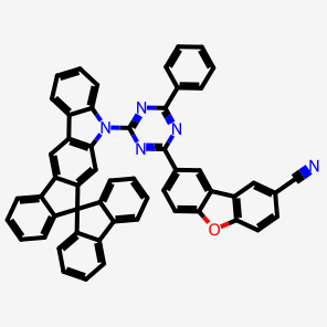 N#Cc1ccc2oc3ccc(-c4nc(-c5ccccc5)nc(-n5c6ccccc6c6cc7c(cc65)C5(c6ccccc6-c6ccccc65)c5ccccc5-7)n4)cc3c2c1